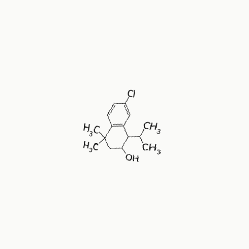 CC(C)C1c2cc(Cl)ccc2C(C)(C)CC1O